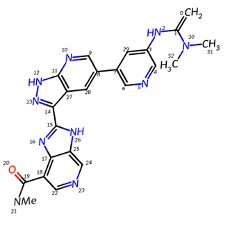 C=C(Nc1cncc(-c2cnc3[nH]nc(-c4nc5c(C(=O)NC)cncc5[nH]4)c3c2)c1)N(C)C